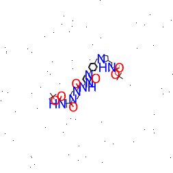 CC(C)(C)OC(=O)NCC1CCN(Cc2ccc(-n3ccc(NC(=O)N4CCN(C(=O)C(C)(C)NC(=O)OC(C)(C)C)CC4)nc3=O)cc2)C1